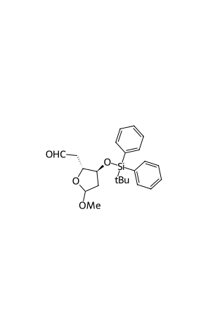 COC1C[C@H](O[Si](c2ccccc2)(c2ccccc2)C(C)(C)C)[C@@H](CC=O)O1